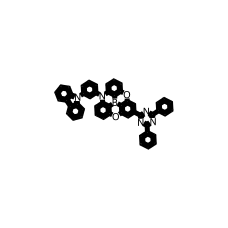 c1ccc(-c2nc(-c3ccccc3)nc(-c3cc4c5c(c3)Oc3cccc6c3B5c3c(cccc3N6c3cccc(-n5c6ccccc6c6ccccc65)c3)O4)n2)cc1